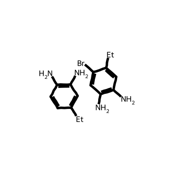 CCc1cc(N)c(N)cc1Br.CCc1ccc(N)c(N)c1